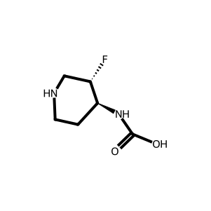 O=C(O)N[C@H]1CCNC[C@@H]1F